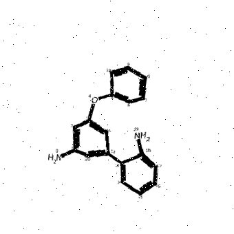 Nc1cc(Oc2ccccc2)cc(-c2ccccc2N)c1